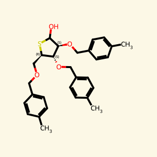 Cc1ccc(COC[C@H]2SC(O)[C@@H](OCc3ccc(C)cc3)[C@@H]2OCc2ccc(C)cc2)cc1